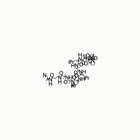 CCCCCCCC[C@H](NC(=O)[C@@H]1CCCN1S(C)(=O)=O)C(=O)N[C@@H](CC(C)C)C(=O)NC(C)(C)C(=O)N[C@@H](CC(C)C)C(=O)N[C@@H](CC(C)C)C(=O)NC(C)(C)C(=O)NC(C)(C)C(=O)NCCC(=O)N[C@@H](C)CN(C)C